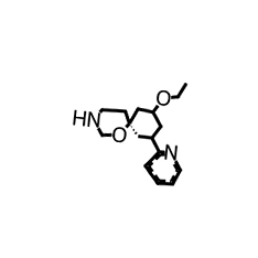 CCOC1CC(c2ccccn2)C[C@]2(CCNCO2)C1